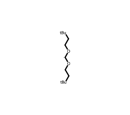 CC(C)(C)CCO[CH]OCCC(C)(C)C